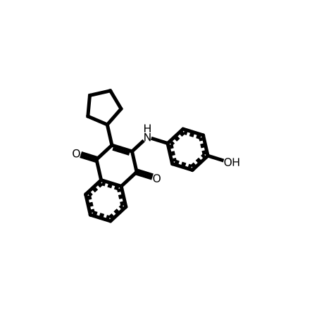 O=C1C(Nc2ccc(O)cc2)=C(C2CCCC2)C(=O)c2ccccc21